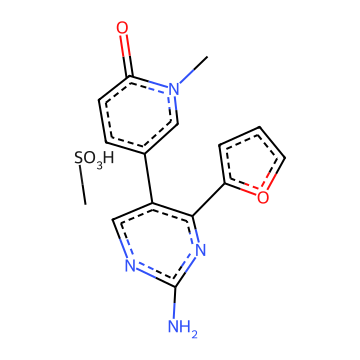 CS(=O)(=O)O.Cn1cc(-c2cnc(N)nc2-c2ccco2)ccc1=O